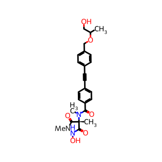 CNC(=O)[C@@](C)(C(=O)NO)N(C)C(=O)c1ccc(C#Cc2ccc(COC(C)CO)cc2)cc1